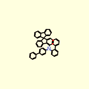 c1ccc(-c2ccc(N(c3ccccc3-c3ccccc3)c3cccc4c3-c3ccccc3C43c4ccccc4-c4ccccc43)cc2)cc1